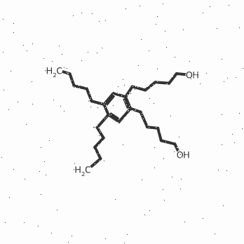 [CH2]CCC[CH]c1cc(CCCCCO)c(CCCCCO)cc1[CH]CCC[CH2]